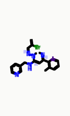 C=C(Br)/C=N\N(C)/C(=C\C(=N/C)C1=C(C)C=CC=I1)NCc1cccnc1